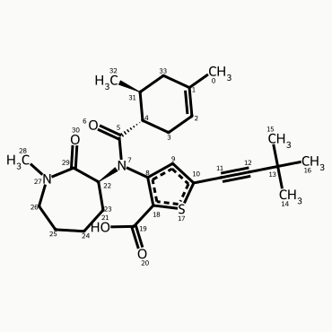 CC1=CC[C@H](C(=O)N(c2cc(C#CC(C)(C)C)sc2C(=O)O)[C@H]2CCCCN(C)C2=O)[C@@H](C)C1